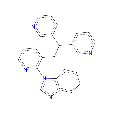 c1cncc(C(Cc2cccnc2-n2cnc3ccccc32)c2cccnc2)c1